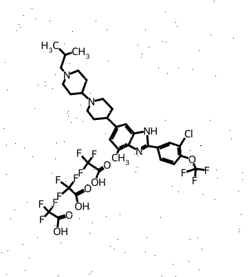 Cc1cc(C2CCN(C3CCN(CC(C)C)CC3)CC2)cc2[nH]c(-c3ccc(OC(F)(F)F)c(Cl)c3)nc12.O=C(O)C(F)(F)F.O=C(O)C(F)(F)F.O=C(O)C(F)(F)F